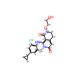 Cn1c(Nc2ccc(C3CC3)cc2F)c2c(cc1=O)CCN(OCCO)C2=O